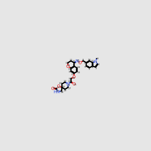 Cn1ccc2ccc(CO/N=C3/CCOc4cc(OCC(=O)N5CCC6(CC5)CNC(=O)O6)ccc43)cc21